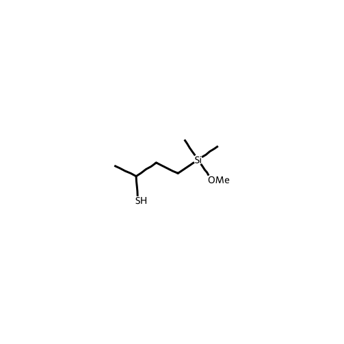 CO[Si](C)(C)CCC(C)S